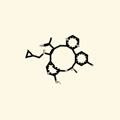 CC(=N)/C1=C(\NCC2CC2)c2cnc(N)c(c2)O[C@H](C)c2cc(F)ccc2-c2nccnc2C1